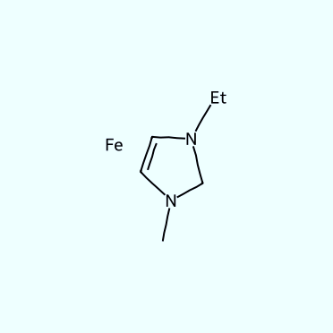 CCN1C=CN(C)C1.[Fe]